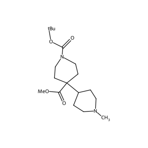 COC(=O)C1(C2CCN(C)CC2)CCN(C(=O)OC(C)(C)C)CC1